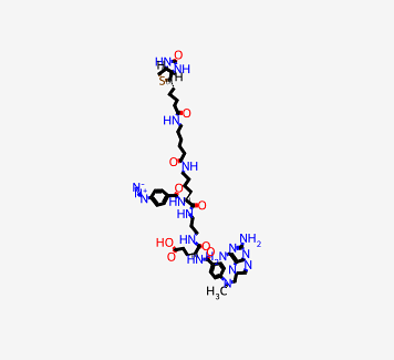 CN(Cc1cnc2nc(N)nc(N)c2n1)c1ccc(C(=O)N[C@@H](CCC(=O)O)C(=O)NCCCNC(=O)[C@H](CCCCNC(=O)CCCCCNC(=O)CCCC[C@@H]2SC[C@@H]3NC(=O)N[C@@H]32)NC(=O)c2ccc(N=[N+]=[N-])cc2)cc1